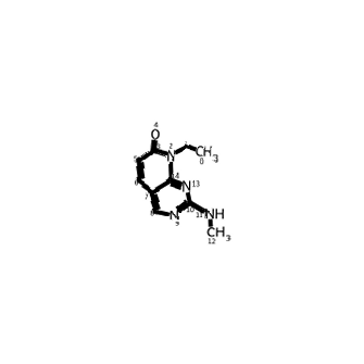 CCn1c(=O)ccc2cnc(NC)nc21